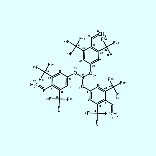 C=Cc1c(C(F)(F)F)cc(OB(Oc2cc(C(F)(F)F)c(C=C)c(C(F)(F)F)c2)Oc2cc(C(F)(F)F)c(C=C)c(C(F)(F)F)c2)cc1C(F)(F)F